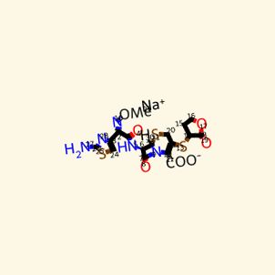 CO/N=C(\C(=O)N[C@@H]1C(=O)N2C(C(=O)[O-])=C(SC3CCOC3=O)CS[C@@H]12)c1csc(N)n1.[Na+]